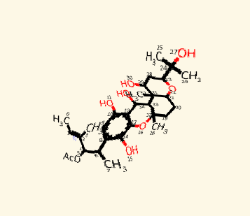 C/C=C(\C)C(OC(C)=O)C(C)c1cc(O)c2c(c1O)OC1(C)CCC3OC(C(C)(C)O)CC(O)C3(C)C1C2O